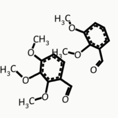 COc1ccc(C=O)c(OC)c1OC.COc1cccc(C=O)c1OC